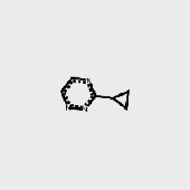 c1cnc(C2CC2)nn1